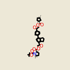 C[C@H]1CC[C@@H](C(=O)OCC(=O)c2ccc(-c3ccc(C(=O)COC(=O)[C@@H]4CC[C@H](C)N4C(=O)OC(C)(C)C)c4c3CCC4)cc2)C1